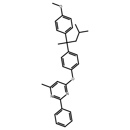 COc1ccc(C(C)(CC(C)C)c2ccc(Oc3cc(C)nc(-c4ccccc4)n3)cc2)cc1